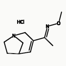 CON=C(C)C1=CC2CCN(C1)C2.Cl